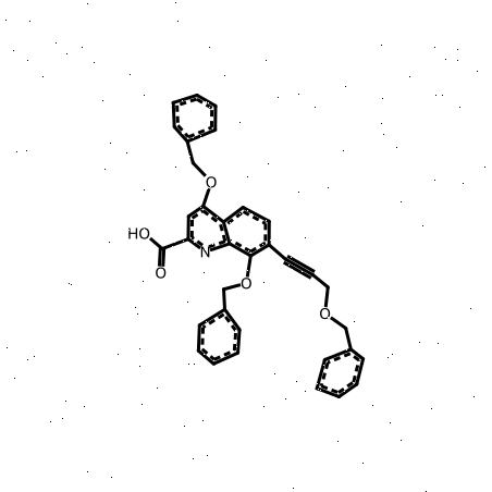 O=C(O)c1cc(OCc2ccccc2)c2ccc(C#CCOCc3ccccc3)c(OCc3ccccc3)c2n1